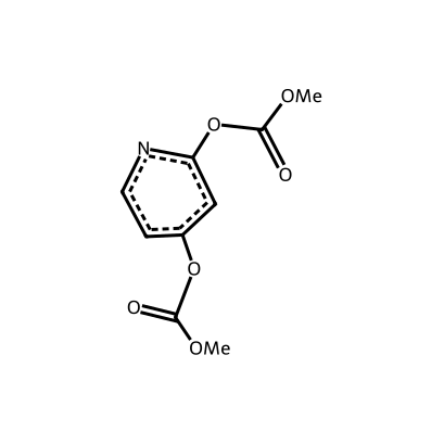 COC(=O)Oc1ccnc(OC(=O)OC)c1